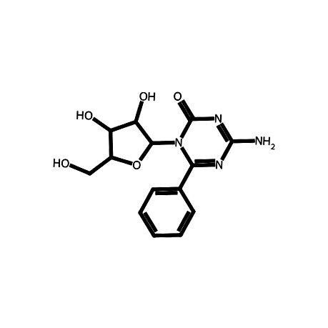 Nc1nc(-c2ccccc2)n(C2OC(CO)C(O)C2O)c(=O)n1